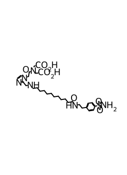 NS(=O)(=O)c1ccc(CCNC(=O)CCCCCCCCCCCNCc2nccn2CC(=O)N(CC(=O)O)CC(=O)O)cc1